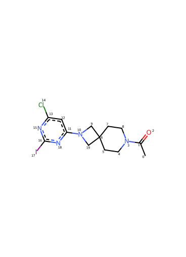 CC(=O)N1CCC2(CC1)CN(c1cc(Cl)nc(I)n1)C2